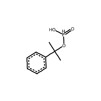 CC(C)(O[PH](=O)O)c1ccccc1